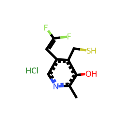 Cc1ncc(C=C(F)F)c(CS)c1O.Cl